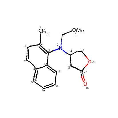 COCN(c1c(C)ccc2ccccc12)C1COC(=O)C1